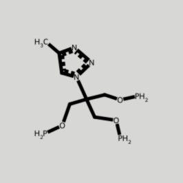 Cc1cn(C(COP)(COP)COP)nn1